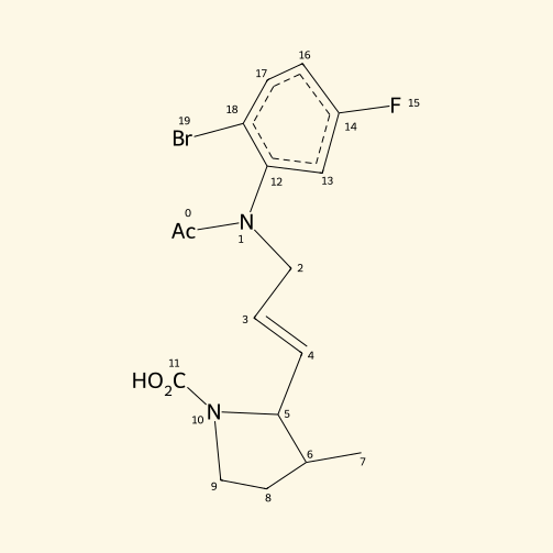 CC(=O)N(C/C=C/C1C(C)CCN1C(=O)O)c1cc(F)ccc1Br